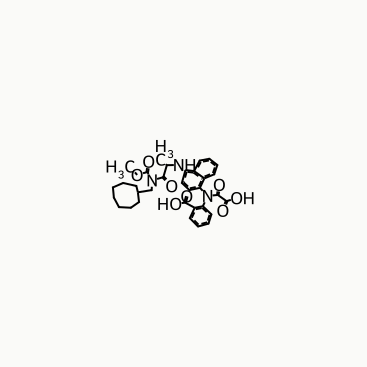 COC(=O)N(CC1CCCCCCC1)C(=O)[C@H](C)Nc1ccc(N(C(=O)C(=O)O)c2ccccc2C(=O)O)c2ccccc12